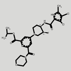 Cc1[nH]c(C(=O)N[C@@H]2CCN(c3cc(C(=O)OC(C)C)nc(C(=O)N4CCOCC4)c3)C[C@@H]2F)c(Cl)c1Cl